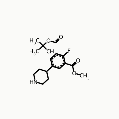 CC(C)(C)OC=O.COC(=O)c1cc(C2CCNCC2)ccc1F